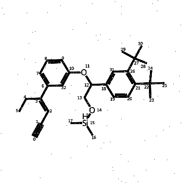 C#CC=C(CC)c1cccc(OC(CO[SiH](C)C)c2ccc(C(C)(C)C)c(C(C)(C)C)c2)c1